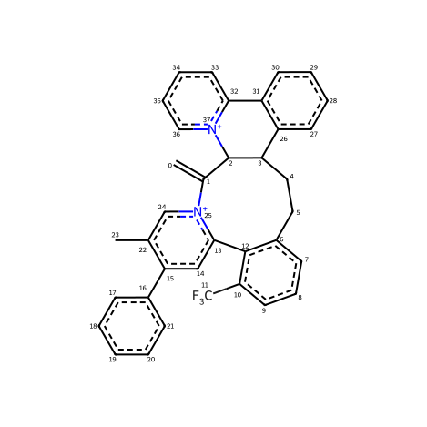 C=C1C2C(CCc3cccc(C(F)(F)F)c3-c3cc(-c4ccccc4)c(C)c[n+]31)c1ccccc1-c1cccc[n+]12